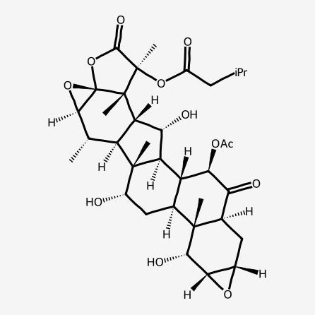 CC(=O)O[C@H]1C(=O)[C@H]2C[C@@H]3O[C@@H]3[C@H](O)[C@]2(C)[C@H]2C[C@H](O)[C@@]3(C)[C@@H]([C@@H](O)[C@@H]4[C@@H]3[C@H](C)[C@H]3O[C@]35OC(=O)[C@@](C)(OC(=O)CC(C)C)[C@]45C)[C@H]12